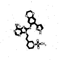 CS(=O)(=O)N1CCCC(CCn2c(Sc3cc4c(cc3-c3cc[nH]n3)OCCO4)nc3c(N)ncnc32)C1